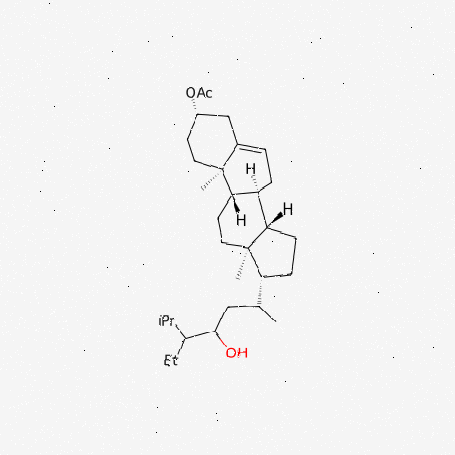 CCC(C(C)C)C(O)CC(C)[C@H]1CC[C@H]2[C@@H]3CC=C4C[C@@H](OC(C)=O)CC[C@]4(C)[C@H]3CC[C@]12C